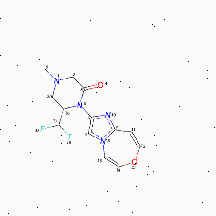 CN1CC(=O)N(c2cn3c(n2)C=COC=C3)C(C(F)F)C1